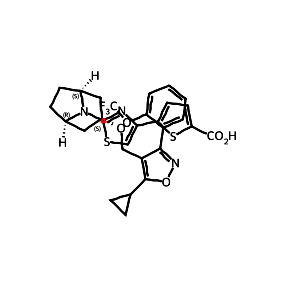 O=C(O)c1ccc(-c2csc(N3[C@@H]4CC[C@H]3C[C@H](OCc3c(-c5ccccc5OC(F)(F)F)noc3C3CC3)C4)n2)s1